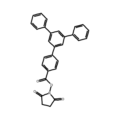 O=C(ON1C(=O)CCC1=O)c1ccc(-c2cc(-c3ccccc3)cc(-c3ccccc3)c2)cc1